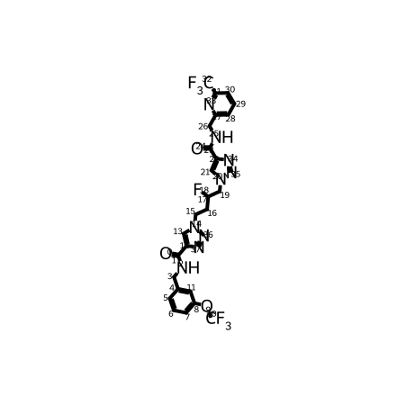 O=C(NCc1cccc(OC(F)(F)F)c1)c1cn(CCC(F)Cn2cc(C(=O)NCc3cccc(C(F)(F)F)n3)nn2)nn1